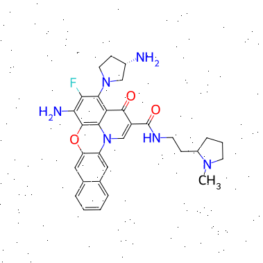 CN1CCCC1CCNC(=O)c1cn2c3c(c(N)c(F)c(N4CC[C@H](N)C4)c3c1=O)Oc1cc3ccccc3cc1-2